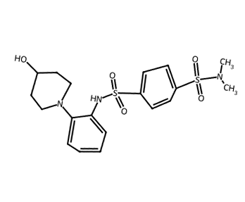 CN(C)S(=O)(=O)c1ccc(S(=O)(=O)Nc2ccccc2N2CCC(O)CC2)cc1